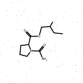 CCC(C)COC(=O)C1CCCN1C(N)=O